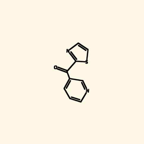 O=C(c1cccnc1)c1nccs1